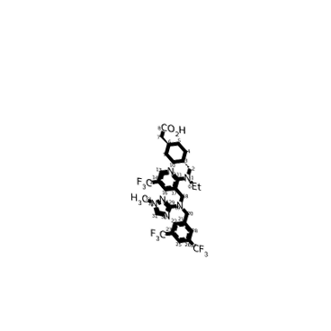 CCN(C[C@H]1CC[C@H](CC(=O)O)CC1)c1ncc(C(F)(F)F)cc1CN(Cc1cc(C(F)(F)F)cc(C(F)(F)F)c1)c1ncn(C)n1